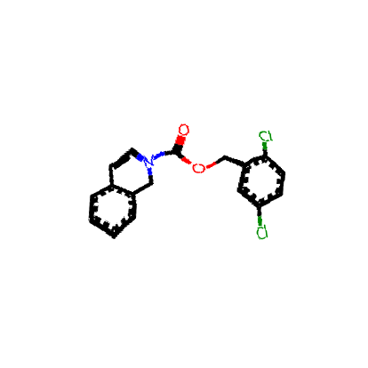 O=C(OCc1cc(Cl)ccc1Cl)N1C=Cc2ccccc2C1